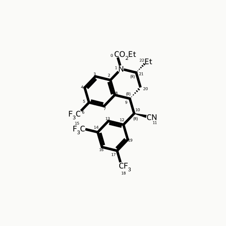 CCOC(=O)N1c2ccc(C(F)(F)F)cc2[C@@H]([C@@H](C#N)c2cc(C(F)(F)F)cc(C(F)(F)F)c2)C[C@H]1CC